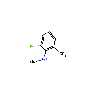 CC(C)(C)Nc1c(F)cccc1C(F)(F)F